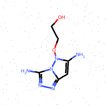 Nc1cc2nnc(N)n2n1OCCO